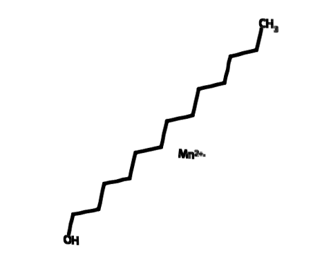 CCCCCCCCCCCCCO.[Mn+2]